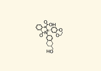 O=C(O)[C@@H]1c2ccccc2C(=O)N(c2ccc3c(c2)CCC(CO)C3)[C@H]1c1ccc2c(c1)OCCO2